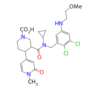 COCCNc1cc(Cl)c(Cl)c(CN(C(=O)C2CN(C(=O)O)CCC2c2ccn(C)c(=O)c2)C2CC2)c1